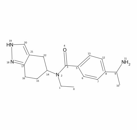 CCN(C(=O)c1ccc(C(C)N)cc1)C1CCc2n[nH]cc2C1